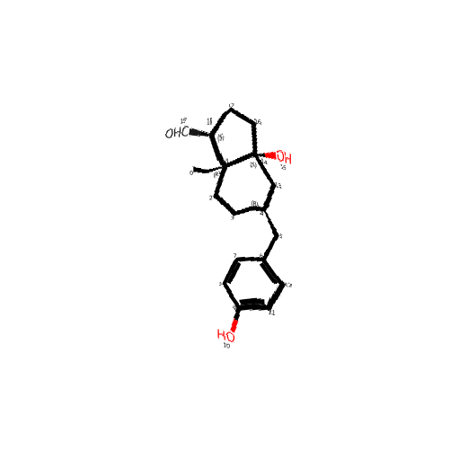 C[C@]12CC[C@H](Cc3ccc(O)cc3)C[C@@]1(O)CC[C@@H]2C=O